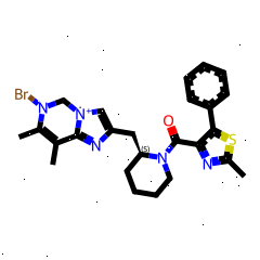 CC1=C(C)N(Br)C[N+]2C=C(C[C@@H]3CCCCN3C(=O)c3nc(C)sc3-c3ccccc3)N=C12